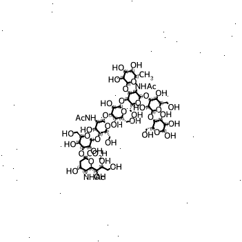 CC(=O)N[C@H]1[C@H](O[C@H]2[C@@H](O)[C@@H](CO)O[C@@H](O[C@H]3[C@H](O[C@@H]4O[C@@H](C)[C@@H](O)[C@@H](O)[C@@H]4O)[C@@H](NC(C)=O)[C@H](O[C@H]4[C@@H](O)[C@@H](CO)O[C@@H](O[C@H]5[C@H](O)[C@@H](O)[C@H](O)O[C@@H]5CO)[C@@H]4O)O[C@@H]3CO)[C@@H]2O)O[C@H](CO)[C@@H](O[C@@H]2O[C@H](CO)[C@H](O)[C@H](O[C@]3(C(=O)O)C[C@H](O)[C@@H](NC(C)=O)[C@H]([C@H](O)[C@H](O)CO)O3)[C@H]2O)[C@@H]1O